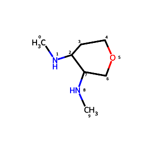 CNC1CCOCC1NC